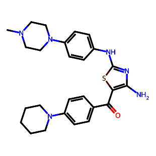 CN1CCN(c2ccc(Nc3nc(N)c(C(=O)c4ccc(N5CCCCC5)cc4)s3)cc2)CC1